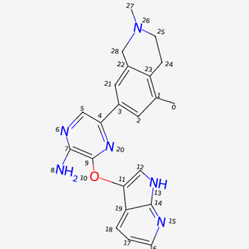 Cc1cc(-c2cnc(N)c(Oc3c[nH]c4ncccc34)n2)cc2c1CCN(C)C2